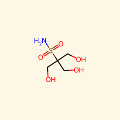 NS(=O)(=O)C(CO)(CO)CO